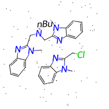 CCCCN(Cc1nc2ccccc2n1C)Cc1nc2ccccc2n1C.Cn1c(CCl)nc2ccccc21